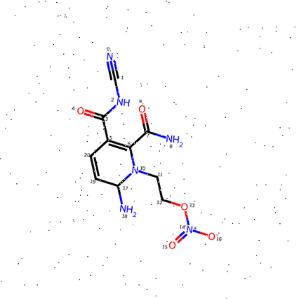 N#CNC(=O)C1=C(C(N)=O)N(CCO[N+](=O)[O-])C(N)C=C1